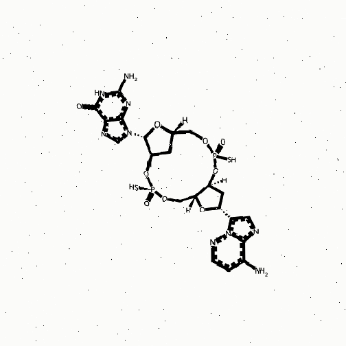 Nc1nc2c(ncn2[C@@H]2O[C@@H]3COP(=O)(S)O[C@H]4C[C@H](c5cnc6c(N)ccnn56)O[C@@H]4CO[P@@](=O)(S)O[C@@H]2C3)c(=O)[nH]1